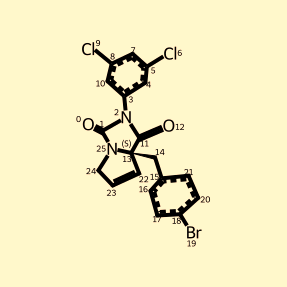 O=C1N(c2cc(Cl)cc(Cl)c2)C(=O)[C@]2(Cc3ccc(Br)cc3)C=CCN12